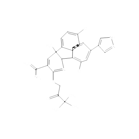 C=C(N)C1=CC(C)(c2ccc(Cl)cc2)C(c2ccc(-c3cn[nH]c3)cc2Cl)N=C1OCC(=O)C(C)(C)C